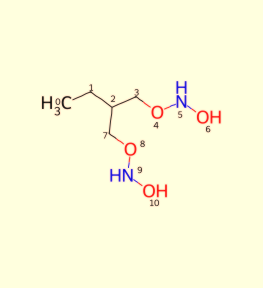 CCC(CONO)CONO